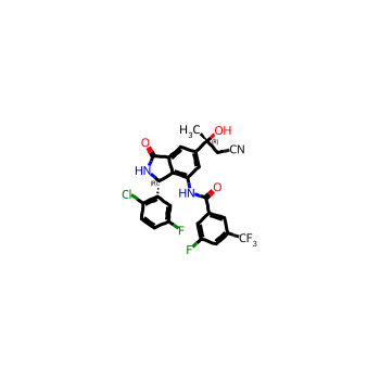 C[C@@](O)(CC#N)c1cc(NC(=O)c2cc(F)cc(C(F)(F)F)c2)c2c(c1)C(=O)N[C@H]2c1cc(F)ccc1Cl